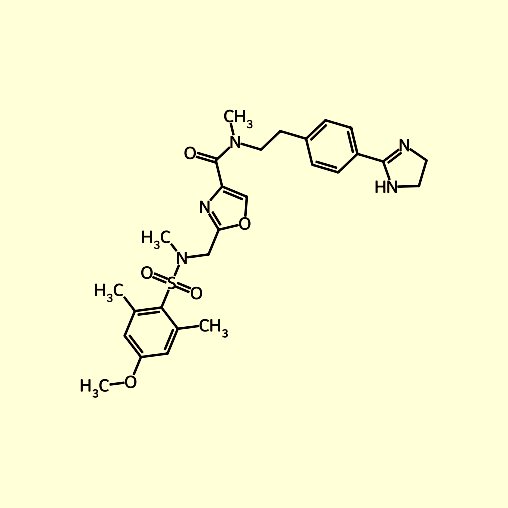 COc1cc(C)c(S(=O)(=O)N(C)Cc2nc(C(=O)N(C)CCc3ccc(C4=NCCN4)cc3)co2)c(C)c1